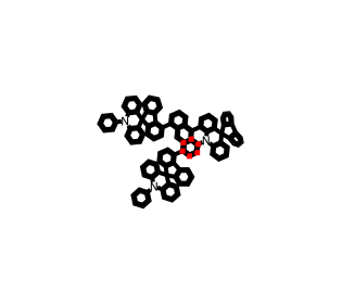 c1ccc(N2c3ccccc3C3(c4ccccc4-c4c(-c5cccc6c(-c7cccc8c7N(c7ccccc7)c7ccccc7C87c8ccccc8-c8ccccc87)c7cccc(-c8cccc9c8-c8ccccc8C98c9ccccc9N(c9ccccc9)c9ccccc98)c7cc56)cccc43)c3ccccc32)cc1